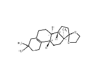 CC1(C)CCC2=C(CC[C@@H]3[C@@H]2CC[C@@]2(C)[C@H]3CCC23OCCO3)C1